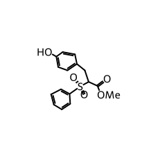 COC(=O)C(Cc1ccc(O)cc1)S(=O)(=O)c1ccccc1